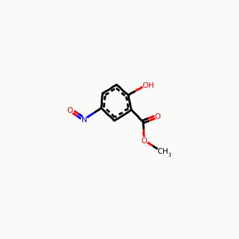 COC(=O)c1cc(N=O)ccc1O